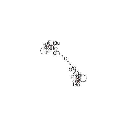 CC(C)(C)OC(=O)N[C@H]1[C@H]2CCCCC[C@]1(C)c1cc(OC(=O)CCCCOCCCCC(=O)Oc3cc(F)c4c(c3)[C@@]3(C)CCCCC[C@@H](C4)[C@@H]3NC(=O)OC(C)(C)C)cc(F)c1C2